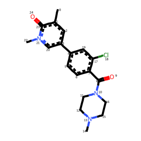 Cc1cc(-c2ccc(C(=O)N3CCN(C)CC3)c(Cl)c2)cn(C)c1=O